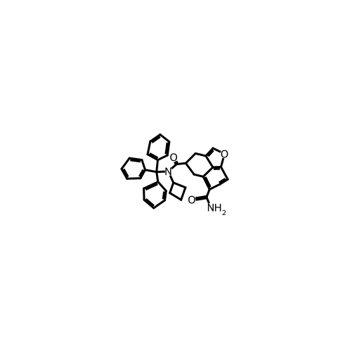 NC(=O)c1ccc2occ3c2c1CC(C(=O)N(C1CCC1)C(c1ccccc1)(c1ccccc1)c1ccccc1)C3